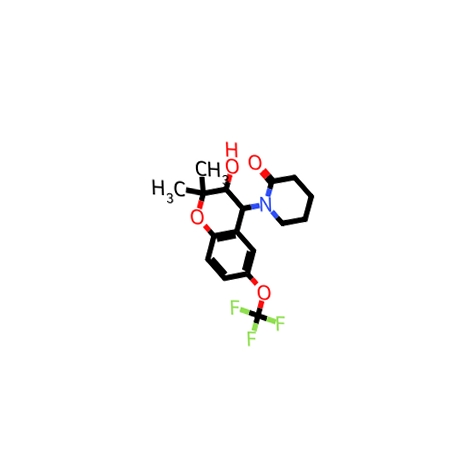 CC1(C)Oc2ccc(OC(F)(F)F)cc2C(N2CCCCC2=O)C1O